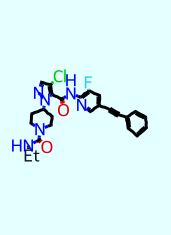 CCNC(=O)N1CCC(n2ncc(Cl)c2C(=O)Nc2ncc(C#Cc3ccccc3)cc2F)CC1